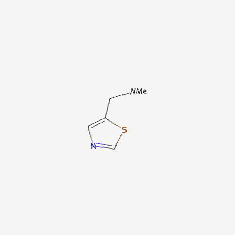 CNCc1cncs1